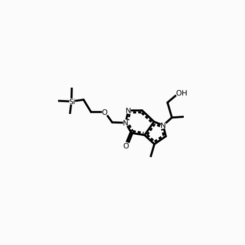 Cc1cn(C(C)CO)c2cnn(COCC[Si](C)(C)C)c(=O)c12